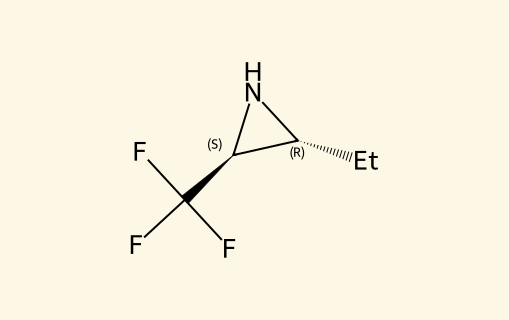 CC[C@H]1N[C@@H]1C(F)(F)F